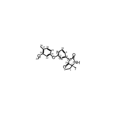 CC[C@@]1(C)NC(=O)N(c2ccnc(Oc3ccc(C)c(OC)c3)n2)C1=O